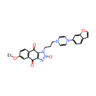 CCOc1ccc2c(c1)C(=O)c1n[n+]([O-])n(CCCN3C=CN(c4ccc5ccoc5c4)C=C3)c1C2=O